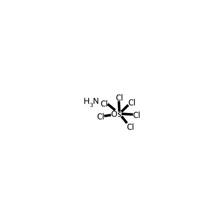 N.[Cl][Os]([Cl])([Cl])([Cl])([Cl])[Cl]